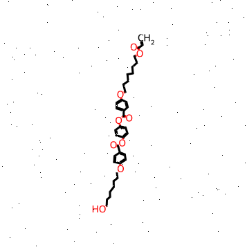 C=CC(=O)OCCCCCCCCOc1ccc(C(=O)Oc2ccc(OC(=O)c3ccc(OCCCCCCCCO)cc3)cc2)cc1